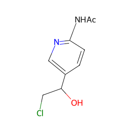 CC(=O)Nc1ccc(C(O)CCl)cn1